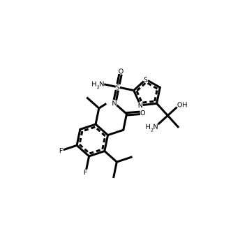 CC(C)c1cc(F)c(F)c(C(C)C)c1CC(=O)N=S(N)(=O)c1nc(C(C)(N)O)cs1